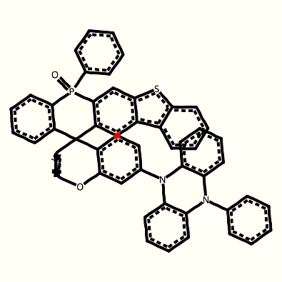 O=P1(c2ccccc2)c2ccccc2C2(c3ccccc3Oc3cc(N4c5ccccc5N(c5ccccc5)c5ccccc54)ccc32)c2cc3c(cc21)sc1ccccc13